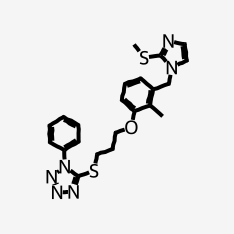 CSc1nccn1Cc1cccc(OCCCSc2nnnn2-c2ccccc2)c1C